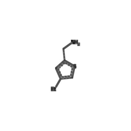 CCc1csc(CN)c1